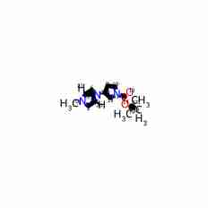 CN1C[C@@H]2C[C@H]1CN2[C@@H]1CCN(C(=O)OC(C)(C)C)C1